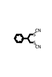 N#CSCC(CSC#N)c1ccccc1